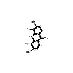 O=c1c2ccc(O)c(I)c2oc2c(I)c(O)ccc12